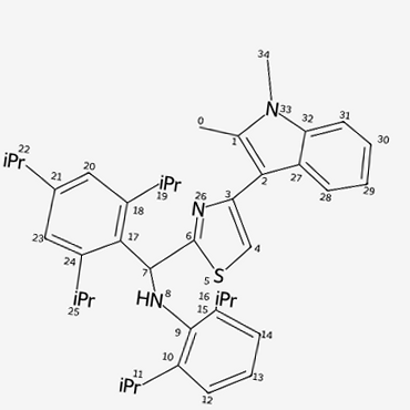 Cc1c(-c2csc(C(Nc3c(C(C)C)cccc3C(C)C)c3c(C(C)C)cc(C(C)C)cc3C(C)C)n2)c2ccccc2n1C